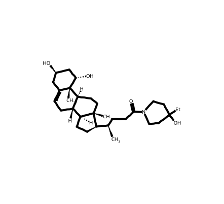 CCC1(O)CCN(C(=O)CC[C@@H](C)[C@H]2CC[C@H]3[C@@H]4CC=C5C[C@@H](O)C[C@H](O)[C@]5(C)[C@H]4CC[C@]23C)CC1